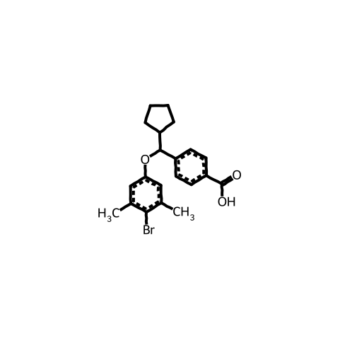 Cc1cc(OC(c2ccc(C(=O)O)cc2)C2CCCC2)cc(C)c1Br